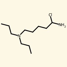 CCCN(CCC)CCCCC(N)Cl